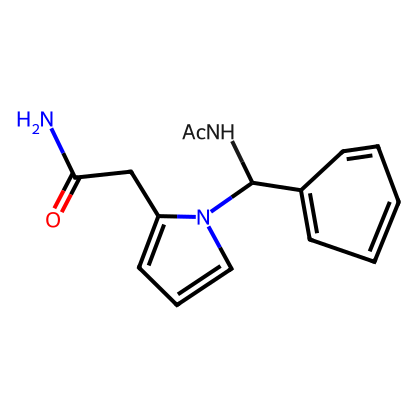 CC(=O)NC(c1ccccc1)n1cccc1CC(N)=O